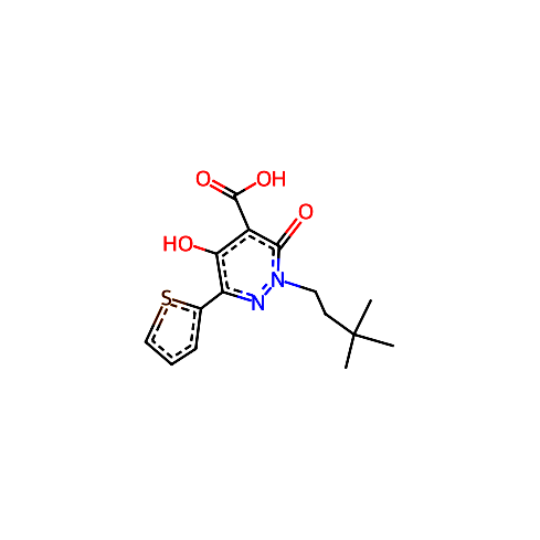 CC(C)(C)CCn1nc(-c2cccs2)c(O)c(C(=O)O)c1=O